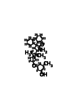 CC1C=C(O)C=C(O[C@H]2CCN(C(C)(C)CCC(C(N)=O)(c3ccccc3)c3ccccc3)C2)C1